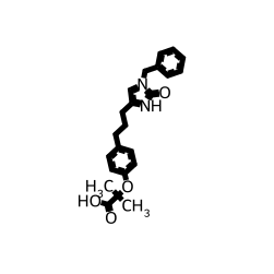 CC(C)(Oc1ccc(CCCc2cn(Cc3ccccc3)c(=O)[nH]2)cc1)C(=O)O